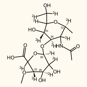 [2H]C([2H])(O)C1([2H])O[C@@]([2H])(C)C([2H])(NC(C)=O)[C@@]([2H])(O[C@]2([2H])OC([2H])(C(=O)O)[C@@]([2H])(OC)[C@]([2H])(O)C2([2H])O)[C@]1([2H])O